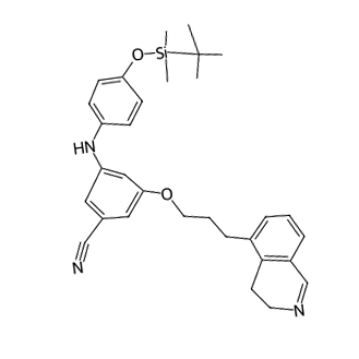 CC(C)(C)[Si](C)(C)Oc1ccc(Nc2cc(C#N)cc(OCCCc3cccc4c3CCN=C4)c2)cc1